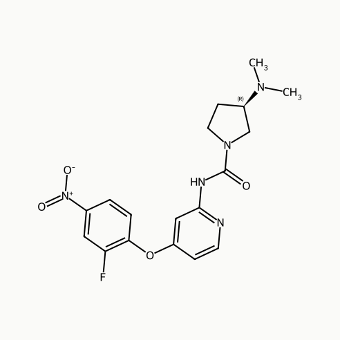 CN(C)[C@@H]1CCN(C(=O)Nc2cc(Oc3ccc([N+](=O)[O-])cc3F)ccn2)C1